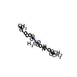 C=CC(=O)OCCc1ccc2c(ccc3cc(OC(=O)/C=C/C=C(\C)C(=O)Oc4ccc(-c5ncc(-c6ccc(OC(=O)C(=C)C)cc6)cn5)cc4)ccc32)c1